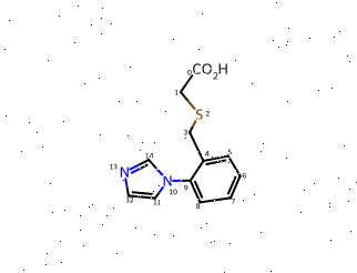 O=C(O)CSCc1ccccc1-n1ccnc1